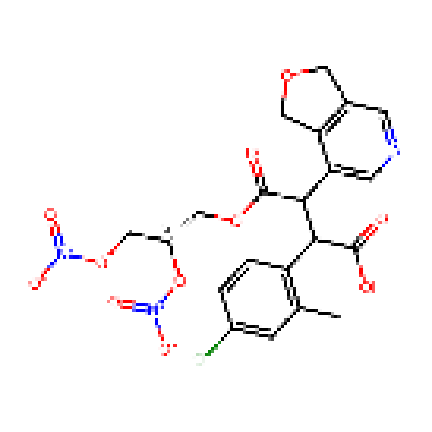 Cc1cc(Cl)ccc1C(C(=O)O)C(C(=O)OC[C@@H](CO[N+](=O)[O-])O[N+](=O)[O-])c1cncc2c1COC2